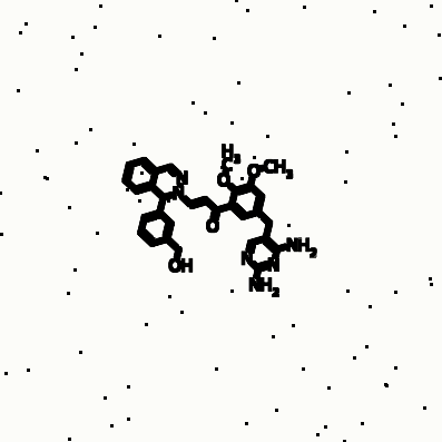 COc1cc(Cc2cnc(N)nc2N)cc(C(=O)/C=C/N2N=Cc3ccccc3C2c2cccc(CO)c2)c1OC